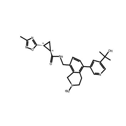 Cc1noc([C@@H]2C[C@H]2C(=O)NCc2ccc(-c3cncc(C(C)(C)O)c3)c3c2CN(C(C)(C)C)CC3)n1